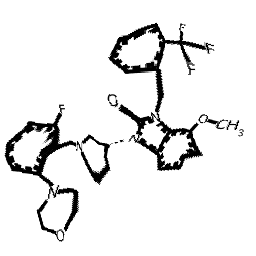 COc1cccc2c1n(Cc1ccccc1C(F)(F)F)c(=O)n2[C@@H]1CCN(c2c(F)cccc2N2CCOCC2)C1